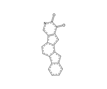 O=c1ncc2c3ccc4c5ccccc5cc4c3cc=2c1=O